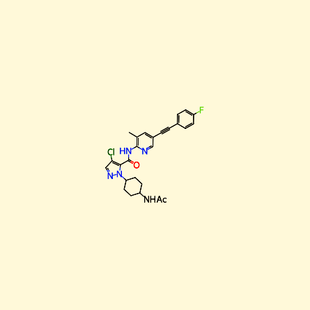 CC(=O)NC1CCC(n2ncc(Cl)c2C(=O)Nc2ncc(C#Cc3ccc(F)cc3)cc2C)CC1